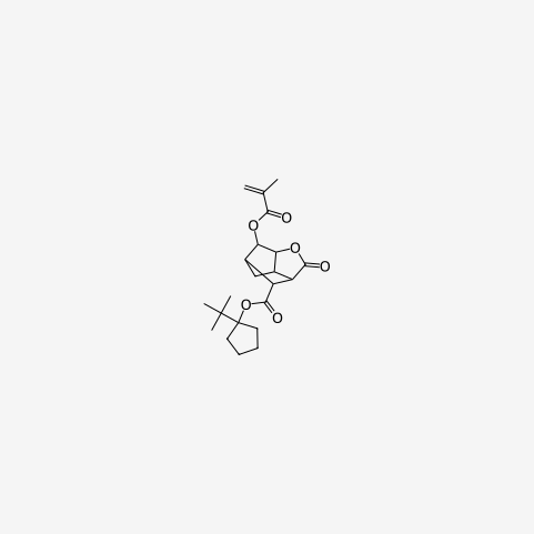 C=C(C)C(=O)OC1C2CC3C1OC(=O)C3C2C(=O)OC1(C(C)(C)C)CCCC1